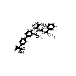 COc1cc(-c2ccc(C3(C(=O)O)CC3)cc2)ccc1-n1nnc(C)c1NC(=O)OC(C)c1ccccc1